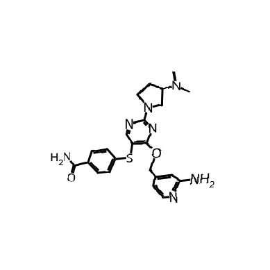 CN(C)[C@@H]1CCN(c2ncc(Sc3ccc(C(N)=O)cc3)c(OCc3ccnc(N)c3)n2)C1